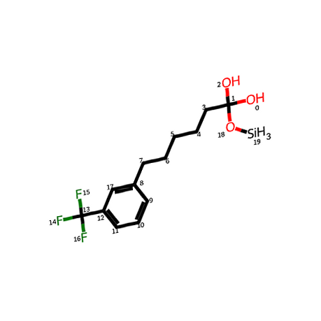 OC(O)(CCCCCc1cccc(C(F)(F)F)c1)O[SiH3]